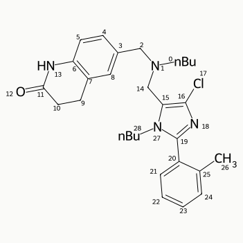 CCCCN(Cc1ccc2c(c1)CCC(=O)N2)Cc1c(Cl)nc(-c2ccccc2C)n1CCCC